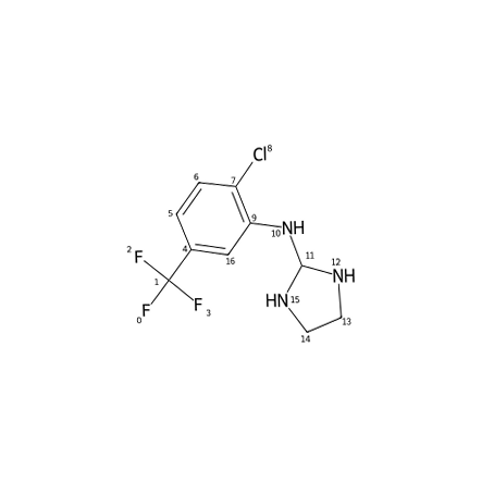 FC(F)(F)c1ccc(Cl)c(NC2NCCN2)c1